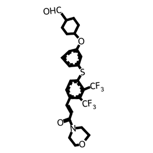 O=CC1CCC(Oc2cccc(Sc3ccc(/C=C/C(=O)N4CCOCC4)c(C(F)(F)F)c3C(F)(F)F)c2)CC1